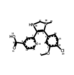 COc1cc(C2=C(c3cc(C(=O)O)ccn3)NCN2C)ccc1Cl